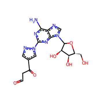 Nc1nc(-n2cc(C(=O)CC=O)cn2)nc2c1ncn2C1O[C@H](CO)[C@@H](O)[C@H]1O